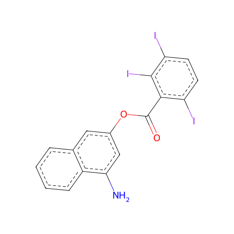 Nc1cc(OC(=O)c2c(I)ccc(I)c2I)cc2ccccc12